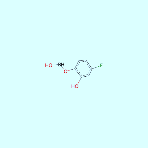 OBOc1ccc(F)cc1O